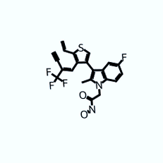 C#C/C(=C\c1c(-c2c(C)n(CC(=O)N=O)c3ccc(F)cc23)csc1C=C)C(F)(F)F